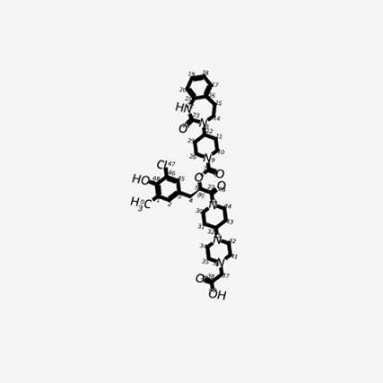 Cc1cc(C[C@@H](OC(=O)N2CCC(N3CCc4ccccc4NC3=O)CC2)C(=O)N2CCC(N3CCN(CC(=O)O)CC3)CC2)cc(Cl)c1O